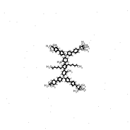 CCCCCCC1=CC(C2CCC(N(C3=CCC(c4ccc(B5OC(C)(C)C(C)(C)O5)cc4)C=C3)c3ccc(C4CCC(C(C)(C)C)CC4)cc3)C=C2C)C(CCCCCC)C=C1C1CCC(N(c2ccc(-c3ccc(C(C)(C)C)cc3)cc2)C2C=CC(C3C=CC(B4OC(C)(C)C(C)(C)O4)CC3)CC2)CC1C